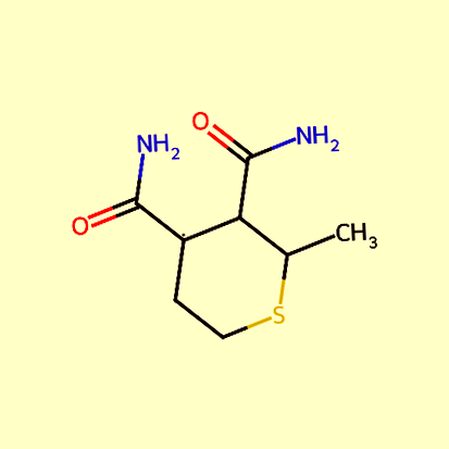 CC1SCC[C](C(N)=O)C1C(N)=O